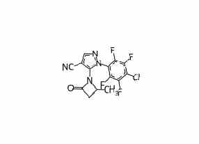 CC1CC(=O)N1c1c(C#N)cnn1-c1c(F)c(F)c(Cl)c(F)c1F